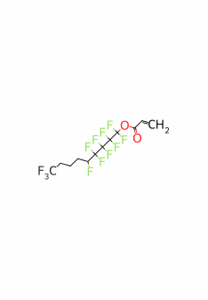 C=CC(=O)OC(F)(F)C(F)(F)C(F)(F)C(F)(F)C(F)CCCC(F)(F)F